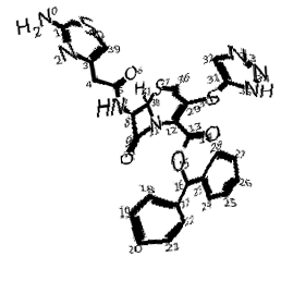 Nc1nc(CC(=O)N[C@@H]2C(=O)N3C(C(=O)OC(c4ccccc4)c4ccccc4)=C(Sc4cnn[nH]4)CS[C@@H]23)cs1